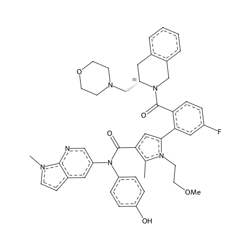 COCCn1c(-c2cc(F)ccc2C(=O)N2Cc3ccccc3C[C@H]2CN2CCOCC2)cc(C(=O)N(c2ccc(O)cc2)c2cnc3c(ccn3C)c2)c1C